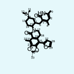 Cc1cc(C)c(CC2CC(N(C)C)CCC2N2CCc3c(c(C)c4c(c3-c3ccco3)O[C@H](C)O4)C2=O)c(=O)[nH]1